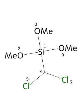 CO[Si](OC)(OC)C(Cl)Cl